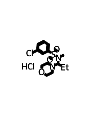 CCC(N1CCOCC1)N(C)S(=O)(=O)c1cccc(Cl)c1.Cl